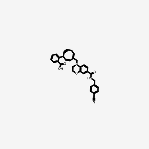 N#Cc1ccc(CNC(=O)c2ccc3c(c2)OCCN3CC2=C/CC#CC(c3ccccc3C(=O)O)/C=C\2)cc1